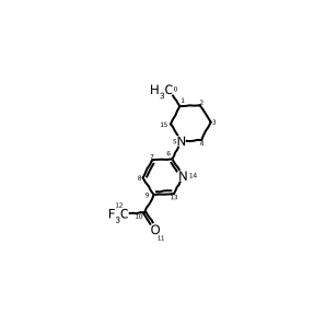 CC1CCCN(c2ccc(C(=O)C(F)(F)F)cn2)C1